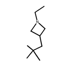 CCN1CC(CC(C)(C)C)C1